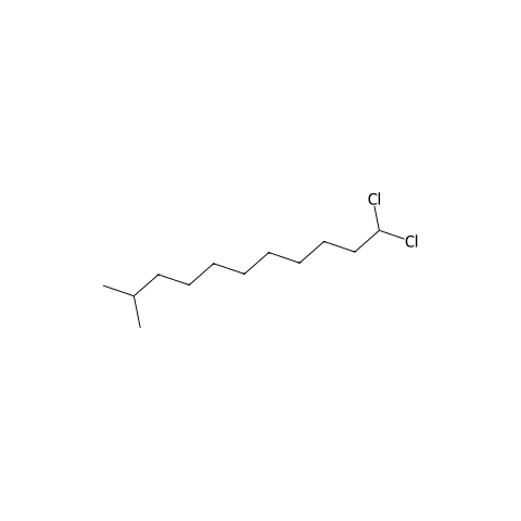 CC(C)CCCCCCCCC(Cl)Cl